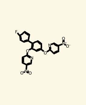 O=[N+]([O-])c1ccc(Oc2ccc(-c3ccc(F)cc3)c(Oc3ccc([N+](=O)[O-])cn3)c2)nc1